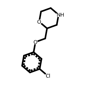 Clc1cccc(OCC2CNCCO2)c1